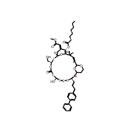 CCCCCCCC(=O)O[C@H]1/C(=C/C(=O)OC)C[C@H]2C[C@H](CO)OC(=O)C[C@H](O)CCO[C@H](CCCc3ccc(-c4ccccc4)cc3)C[C@@H]3CCO[C@H](/C=C/C(C)(C)[C@]1(O)O2)O3